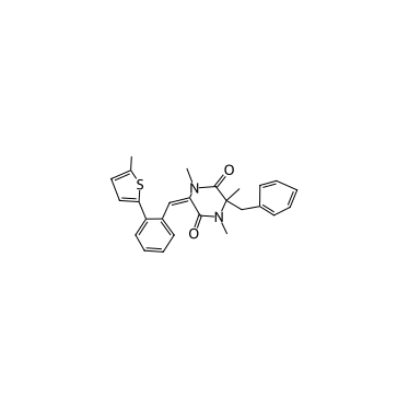 Cc1ccc(-c2ccccc2C=C2C(=O)N(C)C(C)(Cc3ccccc3)C(=O)N2C)s1